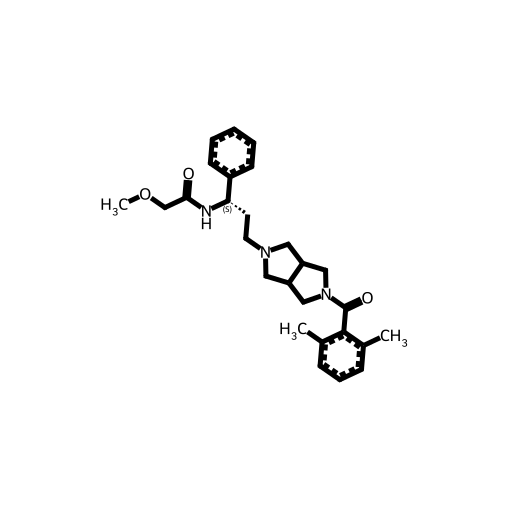 COCC(=O)N[C@@H](CCN1CC2CN(C(=O)c3c(C)cccc3C)CC2C1)c1ccccc1